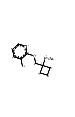 CC(=O)NC1(COc2ncccc2C)CCC1